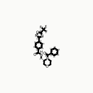 O=C(NC[C@H]1COCCN1C(=O)c1ccccc1)c1ccc(-c2noc(C(F)(F)F)n2)cc1